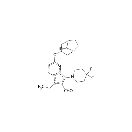 CC(C)N1C2CCC1CC(Oc1ccc3c(c1)c(N1CCC(F)(F)CC1)c(C=O)n3CC(F)(F)F)C2